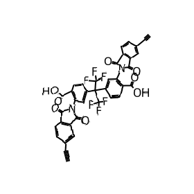 C#Cc1ccc2c(c1)C(=O)N(c1cc(C(c3ccc(C(=O)O)c(N4C(=O)c5ccc(C#C)cc5C4=O)c3)(C(F)(F)F)C(F)(F)F)ccc1C(=O)O)C2=O